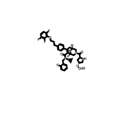 O=CO[C@H]1CNC(C(=O)N2C[C@@H]3CC(c4ccc(CCCOc5c(F)ccc(F)c5F)cc4)=C(C(=O)N(Cc4ccccc4F)C4CC4)[C@@H](C2)N3)C1